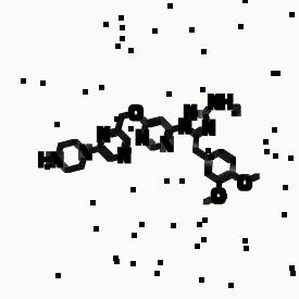 COc1ccc(Cc2nc(N)nn2-c2cc(OCc3cncc(N4CCNCC4)n3)ncn2)cc1OC